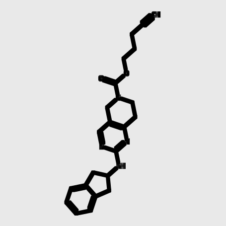 C#CCCCOC(=O)N1CCc2nc(NC3Cc4ccccc4C3)ncc2C1